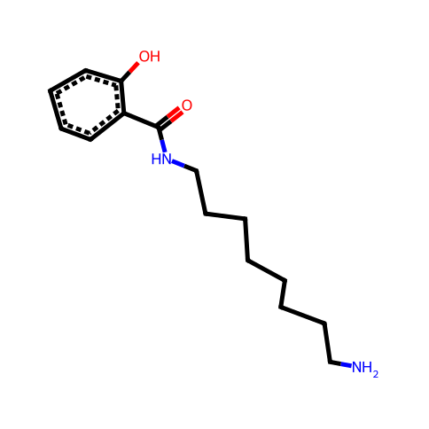 NCCCCCCCCNC(=O)c1ccccc1O